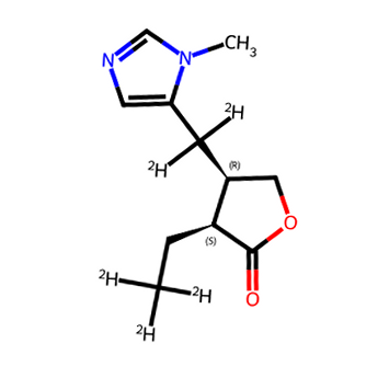 [2H]C([2H])([2H])C[C@@H]1C(=O)OC[C@@H]1C([2H])([2H])c1cncn1C